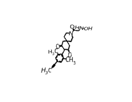 CC#Cc1cc(C)c(C2C(=O)CC3(CCN(C(=O)CNO)CC3)CC2=O)c(C)c1